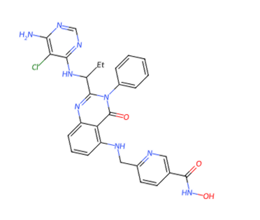 CCC(Nc1ncnc(N)c1Cl)c1nc2cccc(NCc3ccc(C(=O)NO)cn3)c2c(=O)n1-c1ccccc1